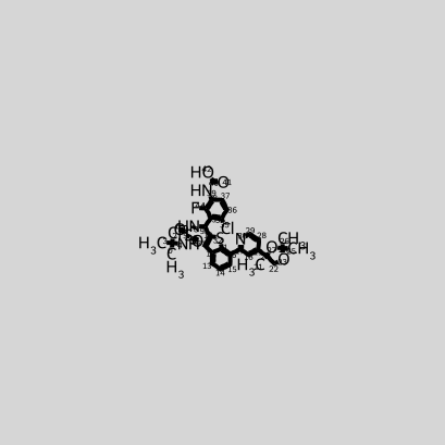 CC(C)(C)NS(=O)(=O)NC(c1cc2cccc(-c3cc([C@@]4(C)COC(C)(C)O4)ccn3)c2s1)c1c(Cl)ccc(NC(=O)O)c1F